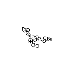 CC(C)S(=O)(=O)N1CCN(c2cnn(-c3cccc(Cl)c3)c(=O)c2OC2CCC(CNC(=O)OC(C)(C)C)CC2)CC1